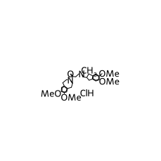 COc1cc2c(cc1OC)CCN(C(=O)CCN(C)CC1Cc3cc(OC)c(OC)cc3C1)CC2.Cl